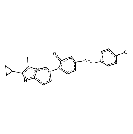 Cc1c(C2CC2)nc2ccc(-n3ccc(NCc4ccc(Cl)cc4)cc3=O)cn12